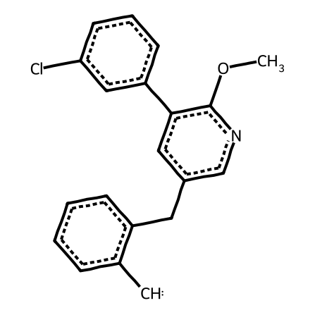 [CH]c1ccccc1Cc1cnc(OC)c(-c2cccc(Cl)c2)c1